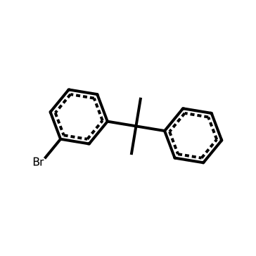 CC(C)(c1ccccc1)c1cccc(Br)c1